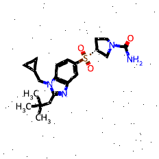 CC(C)(C)Cc1nc2cc(S(=O)(=O)[C@@H]3CCN(C(N)=O)C3)ccc2n1CC1CC1